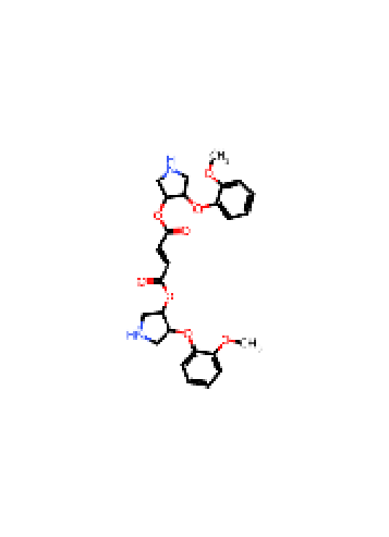 COc1ccccc1OC1CNCC1OC(=O)/C=C/C(=O)OC1CNCC1Oc1ccccc1OC